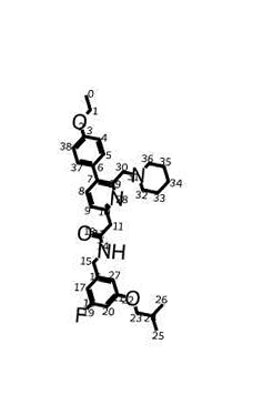 CCOc1ccc(-c2ccc(CC(=O)NCc3cc(F)cc(OCC(C)C)c3)nc2CN2CCCCC2)cc1